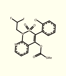 CSC(=O)OC1=C(c2ccccc2Cl)S(=O)(=O)N(CC(F)F)c2ncccc21